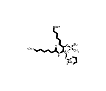 CCCCCCCCCCCCC/C=C/[C@@H](O[Si](C)(C)C(C)(C)C)[C@H](COP1(=O)OCCO1)NC(=O)CCCCCCCCCCCCCCC